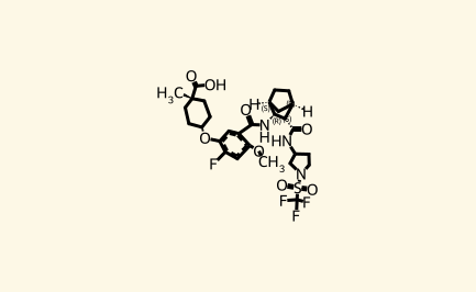 COc1cc(F)c(O[C@H]2CC[C@@](C)(C(=O)O)CC2)cc1C(=O)N[C@@H]1[C@H]2CC[C@H](C2)[C@@H]1C(=O)NC1CCN(S(=O)(=O)C(F)(F)F)C1